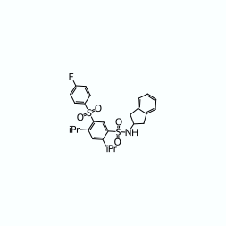 CC(C)c1cc(C(C)C)c(S(=O)(=O)c2ccc(F)cc2)cc1S(=O)(=O)NC1Cc2ccccc2C1